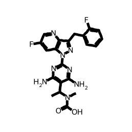 CC(c1c(N)nc(-n2nc(Cc3ccccc3F)c3ncc(F)cc32)nc1N)N(C)C(=O)O